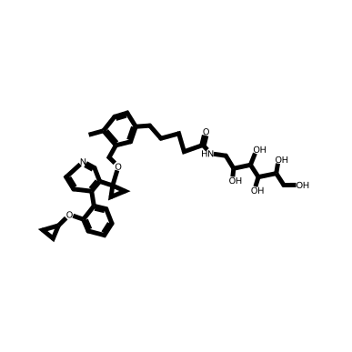 Cc1ccc(CCCCC(=O)NCC(O)C(O)C(O)C(O)CO)cc1COC1(c2cnccc2-c2ccccc2OC2CC2)CC1